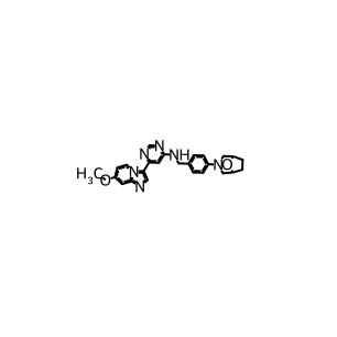 COc1ccn2c(-c3cc(NCc4ccc(N5CC6CCC(C5)O6)cc4)ncn3)cnc2c1